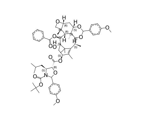 COc1ccc(C2O[C@H]3C[C@H]4OC[C@@]4(C)[C@H]4[C@H](OC(=O)c5ccccc5)[C@]5(O)C[C@H](OC(=O)[C@@H]6OC(c7ccc(OC)cc7)N(C(=O)OC(C)(C)C)[C@H]6CC(C)C)C(C)=C([C@H](C)[C@H](O2)[C@]34C)C5(C)C)cc1